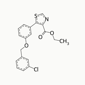 CCOC(=O)c1ncsc1-c1cccc(OCc2cccc(Cl)c2)c1